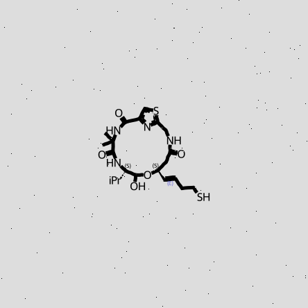 CC(C)[C@@H]1NC(=O)C(C)(C)NC(=O)c2csc(n2)CNC(=O)C[C@@H](/C=C/CCS)OC1O